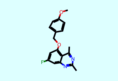 COc1ccc(COc2cc(F)cc3nc(C)nc(C)c23)cc1